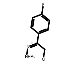 CC(=O)N/N=C(\CCl)c1ccc(F)cc1